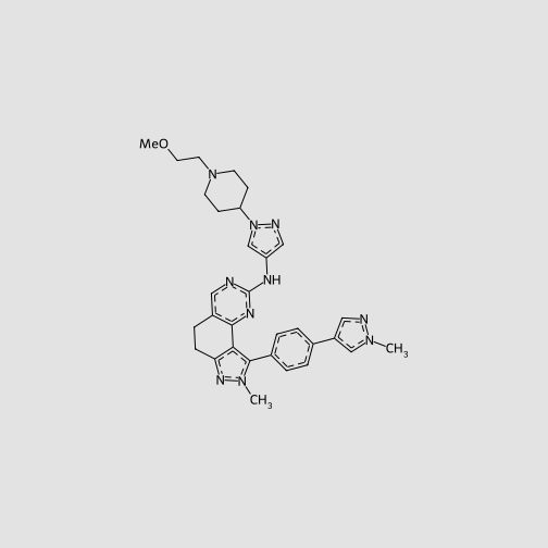 COCCN1CCC(n2cc(Nc3ncc4c(n3)-c3c(nn(C)c3-c3ccc(-c5cnn(C)c5)cc3)CC4)cn2)CC1